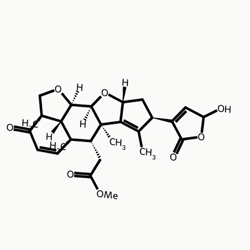 COC(=O)C[C@@H]1[C@@]2(C)C=CC(=O)[C@@]3(C)CO[C@@H]([C@H]4O[C@@H]5C[C@@H](C6=CC(O)OC6=O)C(C)=C5[C@]41C)[C@H]23